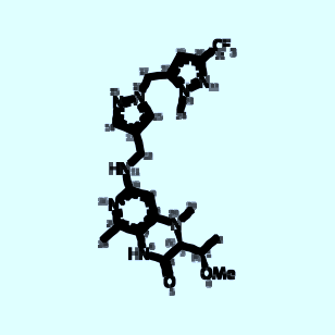 CO[C@H](C)[C@H]1C(=O)Nc2c(cc(NCc3cnn(Cc4cc(C(F)(F)F)nn4C)c3)nc2C)N1C